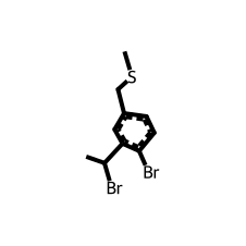 CSCc1ccc(Br)c(C(C)Br)c1